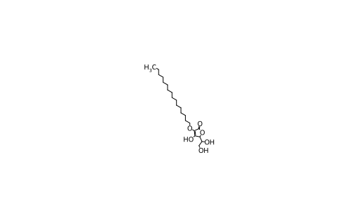 CCCCCCCCCCCCCCCCOC1=C(O)C(C(O)CO)OC1=O